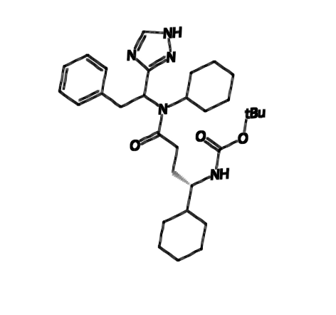 CC(C)(C)OC(=O)N[C@@H](CCC(=O)N(C1CCCCC1)C(Cc1ccccc1)c1nc[nH]n1)C1CCCCC1